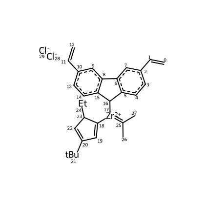 C=Cc1ccc2c(c1)-c1cc(C=C)ccc1[CH]2[Zr+2]([C]1=CC(C(C)(C)C)=CC1CC)=[C](C)C.[Cl-].[Cl-]